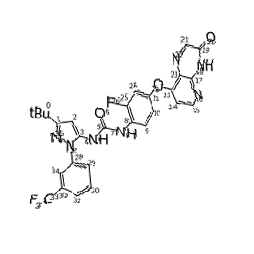 CC(C)(C)c1cc(NC(=O)Nc2ccc(Oc3ccnc4[nH]c(=O)cnc34)cc2F)n(-c2cccc(C(F)(F)F)c2)n1